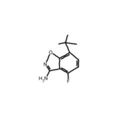 CC(C)(C)c1ccc(F)c2c(N)noc12